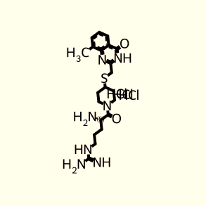 Cc1cccc2c(=O)[nH]c(CSC3CCN(C(=O)[C@@H](N)CCCNC(=N)N)CC3)nc12.Cl.Cl.Cl